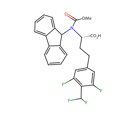 COC(=O)N(C1c2ccccc2-c2ccccc21)[C@@H](CCc1cc(F)c(C(F)F)c(F)c1)C(=O)O